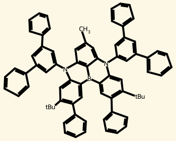 Cc1cc2c3c(c1)N(c1cc(-c4ccccc4)cc(-c4ccccc4)c1)c1cc(C(C)(C)C)c(-c4ccccc4)cc1B3c1cc(-c3ccccc3)c(C(C)(C)C)cc1N2c1cc(-c2ccccc2)cc(-c2ccccc2)c1